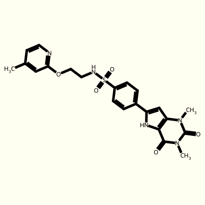 Cc1ccnc(OCCNS(=O)(=O)c2ccc(-c3cc4c([nH]3)c(=O)n(C)c(=O)n4C)cc2)c1